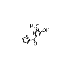 Cn1nc(C(=O)c2cccs2)cc1O